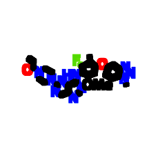 C=CC(=O)N1CCN(c2ncc3ncnc(Nc4c(OC)cc(Oc5ccc6c(c5)nnn6C)c(C)c4F)c3n2)CC1